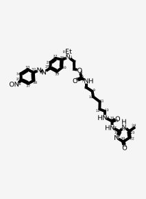 CCN(CCOC(=O)NCCCCCCNC(=O)Nc1nc(=O)cc(C)[nH]1)c1ccc(/N=N/c2ccc(N=O)cc2)cc1